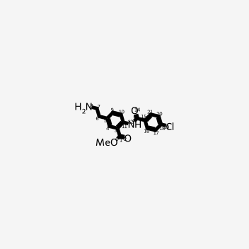 COC(=O)c1cc(CCN)ccc1NC(=O)c1ccc(Cl)cc1